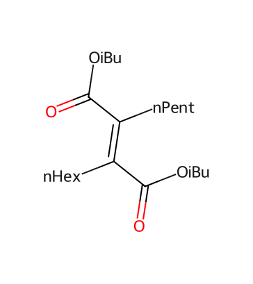 CCCCCCC(C(=O)OCC(C)C)=C(CCCCC)C(=O)OCC(C)C